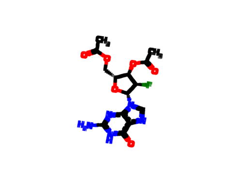 CC(=O)OC[C@H]1O[C@@H](n2cnc3c(=O)[nH]c(N)nc32)[C@H](F)[C@@H]1OC(C)=O